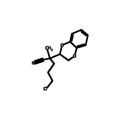 CC(C#N)(CCCCl)C1COc2ccccc2O1